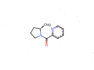 O=C[C@@H]1CCCN1C(=O)c1ccccn1